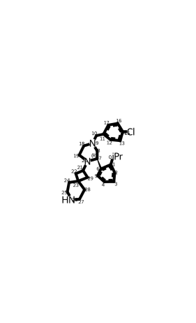 CC(C)c1ccccc1[C@@H]1CN(Cc2ccc(Cl)cc2)CCN1C1CC2(CCNCC2)C1